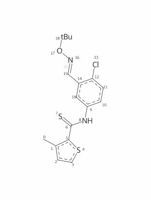 Cc1ccsc1C(=S)Nc1ccc(Cl)c(/C=N/OC(C)(C)C)c1